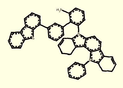 Nc1cccc(-n2c3c(c4c2ccc2c5c(n(-c6ccccc6)c24)CCC=C5)CCC=C3)c1-c1cccc(-c2cccc3c2sc2ccccc23)c1